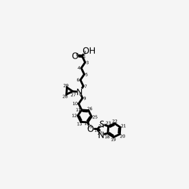 O=C(O)CCCCCN(CCc1ccc(Oc2nc3ccccc3s2)cc1)C1CC1